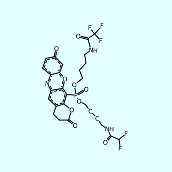 O=C1CCc2cc3nc4ccc(=O)cc-4oc3c(P(=O)(OCCCCNC(=O)C(F)F)OCCCCNC(=O)C(F)(F)F)c2O1